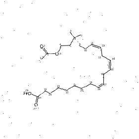 CC(=O)OCCC(C)C.CC/C=C\C/C=C\C/C=C\CCCCCCCC(=O)O